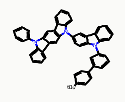 CC(C)(C)c1ccc(-c2cccc(-n3c4ccccc4c4cc(-n5c6ccccc6c6cc7c(cc65)c5ccccc5n7-c5ccccc5)ccc43)c2)cc1